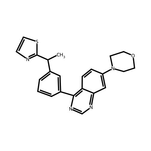 CC(c1cccc(-c2ncnc3cc(N4CCOCC4)ccc23)c1)c1nccs1